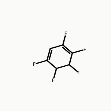 FC1=CC(F)=C(F)C(I)C1F